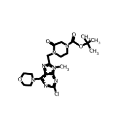 Cn1c(CN2CCN(C(=O)OC(C)(C)C)CC2=O)nc2c(N3CCOCC3)nc(Cl)nc21